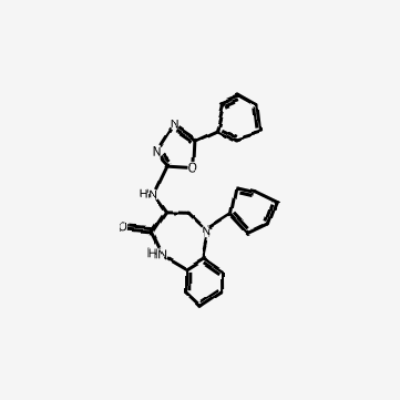 O=C1Nc2ccccc2N(c2ccccc2)CC1Nc1nnc(-c2ccccc2)o1